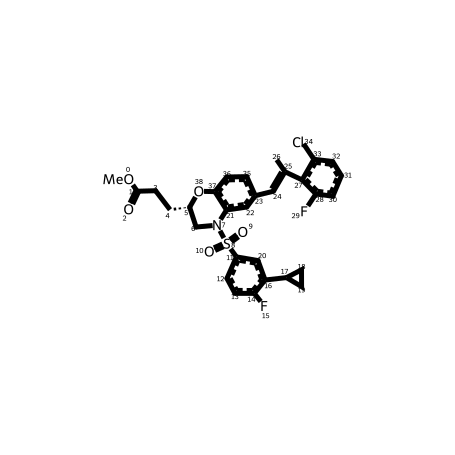 COC(=O)CC[C@H]1CN(S(=O)(=O)c2ccc(F)c(C3CC3)c2)c2cc(/C=C(\C)c3c(F)cccc3Cl)ccc2O1